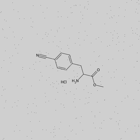 COC(=O)C(N)Cc1ccc(C#N)cc1.Cl